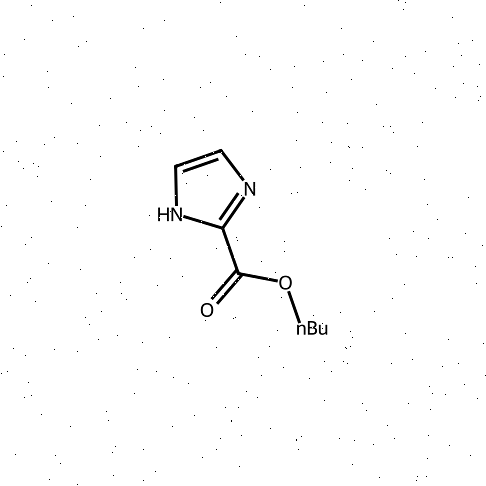 CCCCOC(=O)c1ncc[nH]1